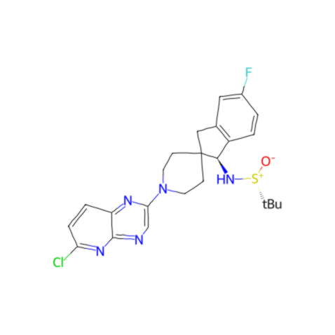 CC(C)(C)[S@@+]([O-])N[C@@H]1c2ccc(F)cc2CC12CCN(c1cnc3nc(Cl)ccc3n1)CC2